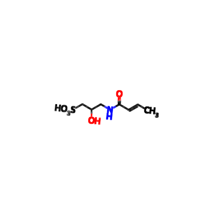 CC=CC(=O)NCC(O)CS(=O)(=O)O